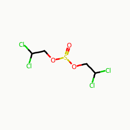 O=S(OCC(Cl)Cl)OCC(Cl)Cl